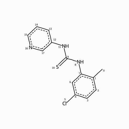 Cc1ccc(Cl)cc1NC(=S)Nc1cccnc1